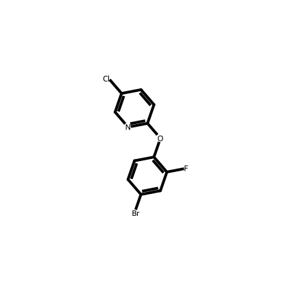 Fc1cc(Br)ccc1Oc1ccc(Cl)cn1